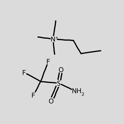 CCC[N+](C)(C)C.NS(=O)(=O)C(F)(F)F